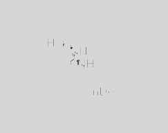 CCCCCCCCCCCCCCCCCCNC(=O)CC(=O)Nc1ccc(O)cc1